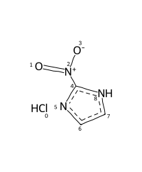 Cl.O=[N+]([O-])c1ncc[nH]1